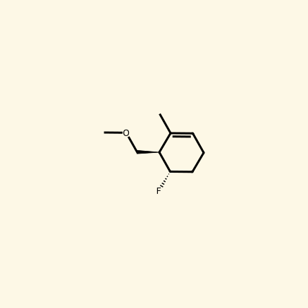 COC[C@H]1C(C)=CCC[C@@H]1F